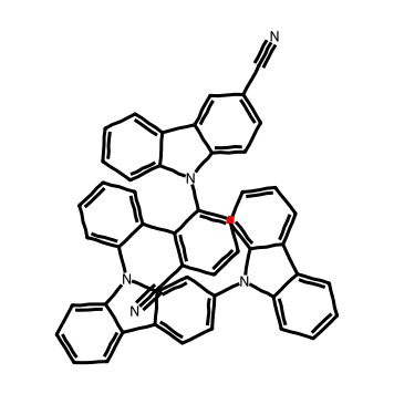 N#Cc1ccc2c(c1)c1ccccc1n2-c1cccc(C#N)c1-c1ccccc1-n1c2ccccc2c2ccc(-n3c4ccccc4c4ccccc43)cc21